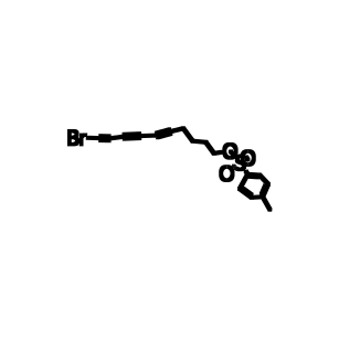 Cc1ccc(S(=O)(=O)OCCCCC#CC#CC#CBr)cc1